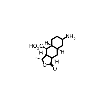 C[C@H]1OC(=O)[C@@H]2C[C@@H]3CC(N)CC[C@H]3[C@H](C(=O)O)[C@H]12